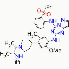 C=C([C@H](C)NC(C)C)N1CCC(c2cc(OC)c(Nc3nc(Nc4ccccc4S(=O)(=O)C(C)C)n4nccc4n3)cc2C)CC1